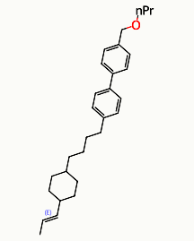 C/C=C/C1CCC(CCCCc2ccc(-c3ccc(COCCC)cc3)cc2)CC1